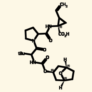 C=CC1C[C@]1(NC(=O)C1CCCN1C(=O)C(NC(=O)O[C@H]1C[C@H]2CC[C@@H](C1)O2)C(C)(C)C)C(=O)O